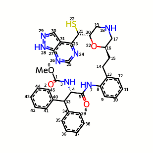 COC(=O)N[C@H](C(=O)Nc1ccccc1CC[C@@H]1CNC[C@@H](C(S)c2ncnc3[nH]ncc23)O1)C(c1ccccc1)c1ccccc1